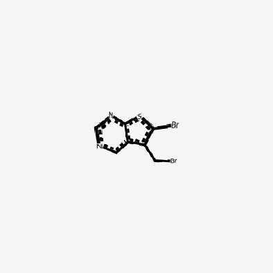 BrCc1c(Br)sc2ncncc12